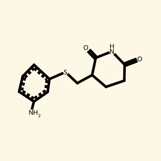 Nc1cccc(SCC2CCC(=O)NC2=O)c1